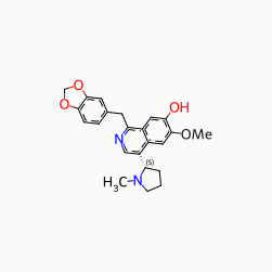 COc1cc2c([C@@H]3CCCN3C)cnc(Cc3ccc4c(c3)OCO4)c2cc1O